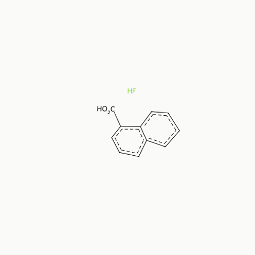 F.O=C(O)c1cccc2ccccc12